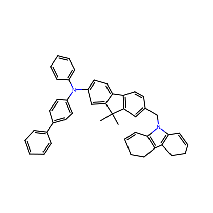 CC1(C)c2cc(Cn3c4c(c5c3C=CCC5)CCC=C4)ccc2-c2ccc(N(c3ccccc3)c3ccc(-c4ccccc4)cc3)cc21